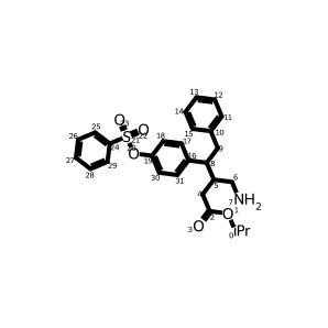 CC(C)OC(=O)CC(CN)C(Cc1ccccc1)c1ccc(OS(=O)(=O)c2ccccc2)cc1